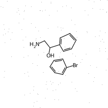 Brc1ccccc1.NCC(O)c1ccccc1